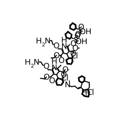 CCOC(=O)C1=C(COCCN)NC(C)=C(C(=O)OC)C1c1ccccc1Cl.CCOC(=O)C1=C(COCCN)NC(C)=C(C(=O)OC)C1c1ccccc1Cl.CN(C)CCC=C1c2ccccc2CCc2ccccc21.Cl.O=S(=O)(O)c1ccccc1.O=S(=O)(O)c1ccccc1